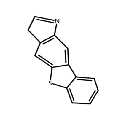 C1=Nc2cc3c(cc2C1)sc1ccccc13